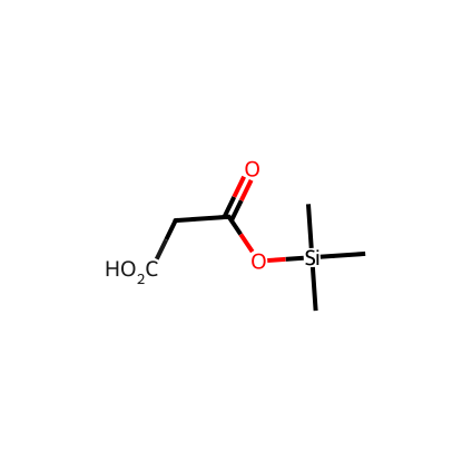 C[Si](C)(C)OC(=O)CC(=O)O